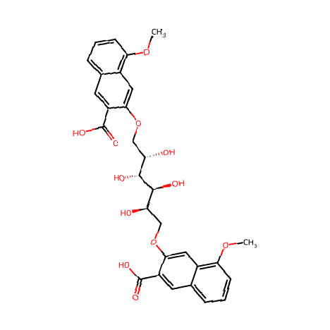 COc1cccc2cc(C(=O)O)c(OC[C@@H](O)[C@H](O)[C@H](O)[C@@H](O)COc3cc4c(OC)cccc4cc3C(=O)O)cc12